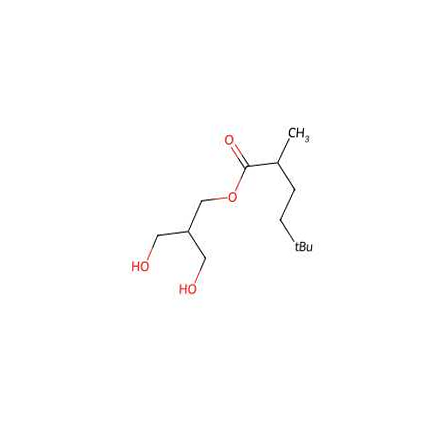 CC(CCC(C)(C)C)C(=O)OCC(CO)CO